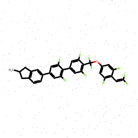 CC1Cc2ccc(-c3cc(F)c(-c4cc(F)c(C(F)(F)Oc5cc(F)c(C=C(F)F)c(F)c5)c(F)c4)c(F)c3)cc2C1